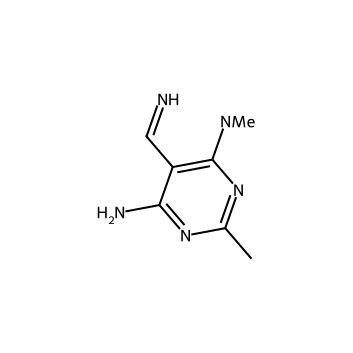 CNc1nc(C)nc(N)c1C=N